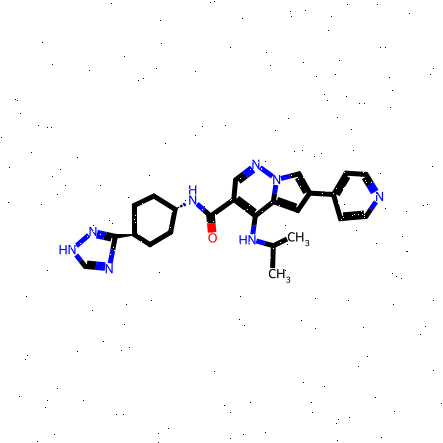 CC(C)Nc1c(C(=O)N[C@H]2CC[C@H](c3nc[nH]n3)CC2)cnn2cc(-c3ccncc3)cc12